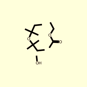 CCC(C)(C)OC(C)(C)CC.CCOC(C)=O.CO